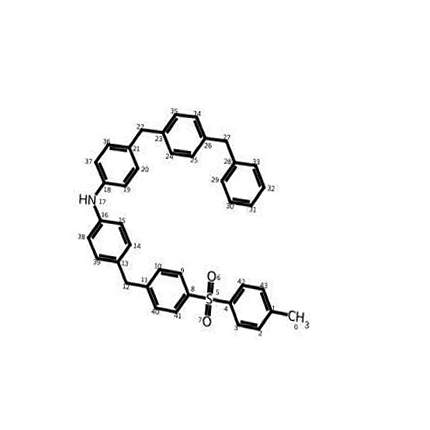 Cc1ccc(S(=O)(=O)c2ccc(Cc3ccc(Nc4ccc(Cc5ccc(Cc6ccccc6)cc5)cc4)cc3)cc2)cc1